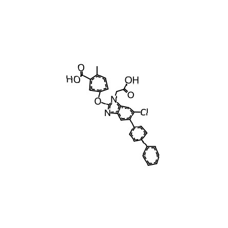 Cc1ccc(Oc2nc3cc(-c4ccc(-c5ccccc5)cc4)c(Cl)cc3n2CC(=O)O)cc1C(=O)O